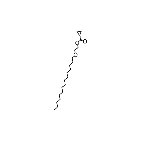 CCCCCCCCCCCCCCCOCCOC(=O)C1CC1